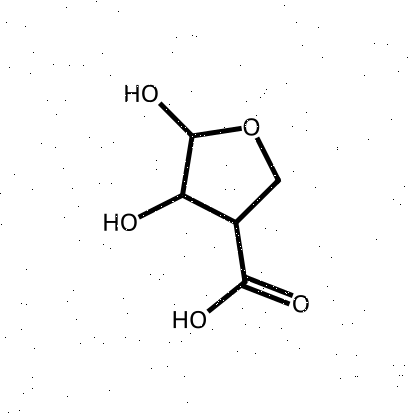 O=C(O)C1COC(O)C1O